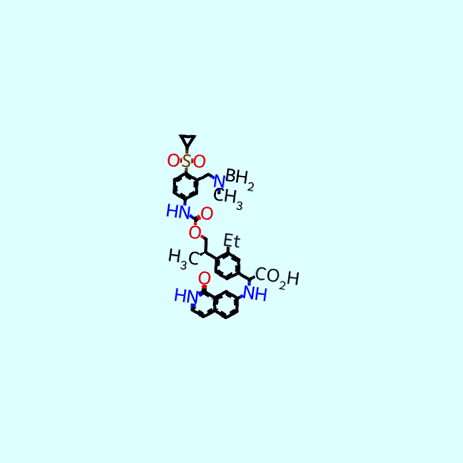 BN(C)Cc1cc(NC(=O)OC[C@H](C)c2ccc(C(Nc3ccc4cc[nH]c(=O)c4c3)C(=O)O)cc2CC)ccc1S(=O)(=O)C1CC1